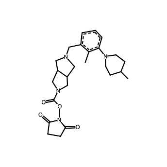 Cc1c(CN2CC3CN(C(=O)ON4C(=O)CCC4=O)CC3C2)cccc1N1CCC(C)CC1